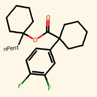 CCCCCC1(OC(=O)C2(c3ccc(F)c(F)c3)CCCCC2)CCCCC1